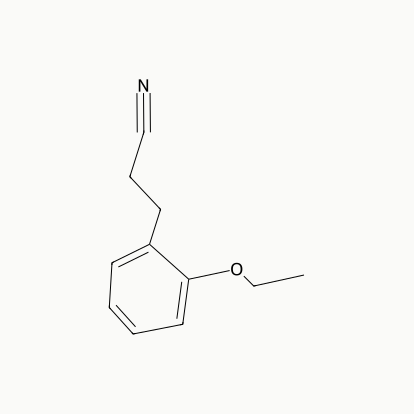 CCOc1ccccc1CCC#N